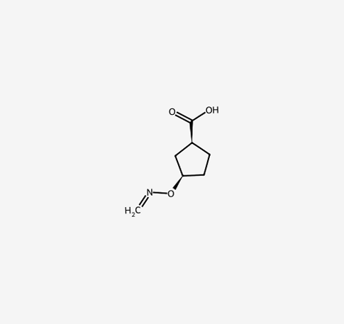 C=NO[C@@H]1CC[C@H](C(=O)O)C1